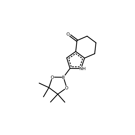 CC1(C)OB(c2cc3c([nH]2)CCCC3=O)OC1(C)C